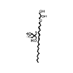 CCC(CO)(CO)CO.CCCCCCCCCCCCCCCCCCOCC(O)CO